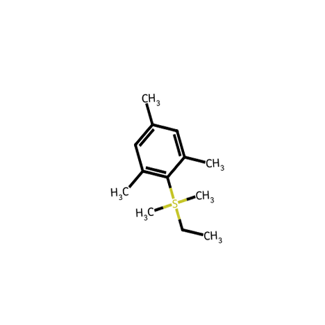 CCS(C)(C)c1c(C)cc(C)cc1C